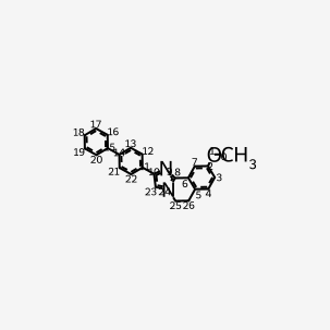 COc1ccc2c(c1)-c1nc(-c3ccc(-c4ccccc4)cc3)cn1CC2